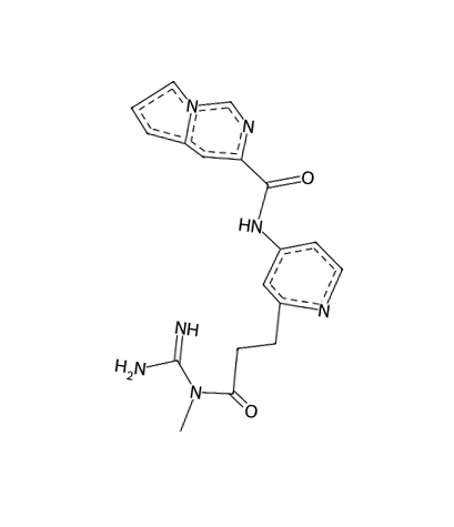 CN(C(=N)N)C(=O)CCc1cc(NC(=O)c2cc3cccn3cn2)ccn1